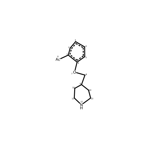 CC(=O)c1ccccc1OCC1CCNCC1